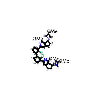 COc1nc(-c2cccc(-c3cccc(-c4cc5c(c(OC)n4)C(N4CC(OC)C4)CC5)c3Cl)c2F)cc2c1C(N1CC(OC)C1)CC2